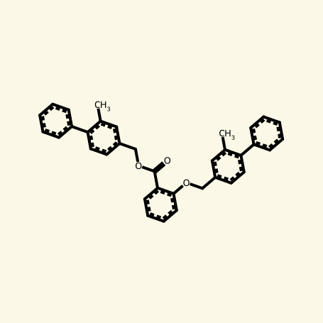 Cc1cc(COC(=O)c2ccccc2OCc2ccc(-c3ccccc3)c(C)c2)ccc1-c1ccccc1